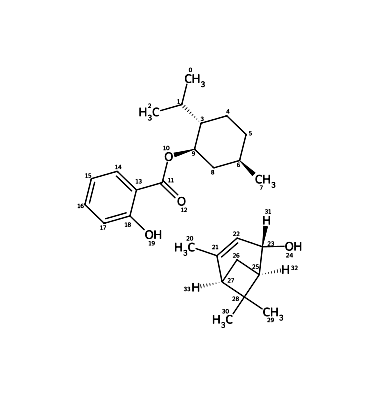 CC(C)[C@@H]1CC[C@@H](C)C[C@H]1OC(=O)c1ccccc1O.CC1=C[C@H](O)[C@@H]2C[C@H]1C2(C)C